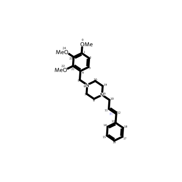 COc1ccc(CN2CCN(C/C=C/c3ccccc3)CC2)c(OC)c1OC